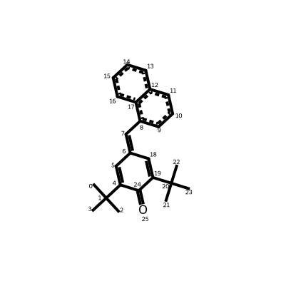 CC(C)(C)C1=CC(=Cc2cccc3ccccc23)C=C(C(C)(C)C)C1=O